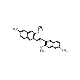 CSc1cc2cc(C)ccc2cc1/C=C/c1cc2ccc(C)cc2cc1SC